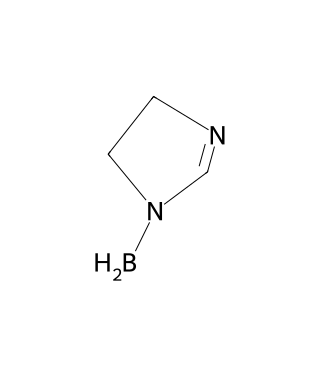 BN1C=NCC1